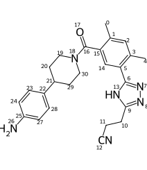 Cc1cc(C)c(-c2nnc(CCC#N)[nH]2)cc1C(=O)N1CCC(c2ccc(N)cc2)CC1